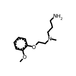 COc1ccccc1OCCN(C)CCCN